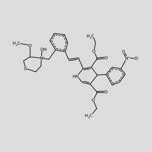 CCOC(=O)C1=CNC(C=Cc2ccccc2C[N+]2(O)CCOCC2OC)=C(C(=O)OCC)C1c1cccc([N+](=O)[O-])c1